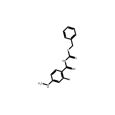 CNc1ccc(C(=N)NC(=O)OCc2ccccc2)c(F)c1